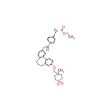 CCOC(=O)[C@H]1C[C@@H]1c1ccc(NCc2ccc3c(c2)-c2ccc(OCC4(C)CCS(=O)(=O)CC4)cc2CCC3)cc1